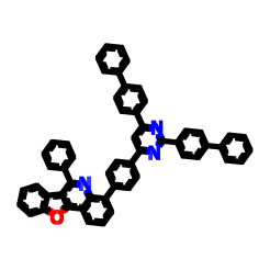 c1ccc(-c2ccc(-c3cc(-c4ccc(-c5cccc6c5nc(-c5ccccc5)c5c7ccccc7oc65)cc4)nc(-c4ccc(-c5ccccc5)cc4)n3)cc2)cc1